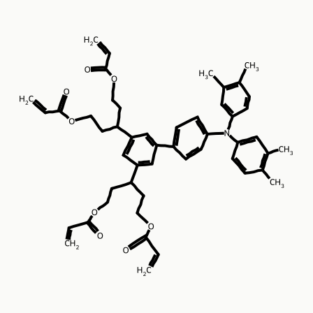 C=CC(=O)OCCC(CCOC(=O)C=C)c1cc(-c2ccc(N(c3ccc(C)c(C)c3)c3ccc(C)c(C)c3)cc2)cc(C(CCOC(=O)C=C)CCOC(=O)C=C)c1